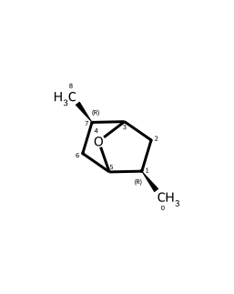 C[C@@H]1CC2OC1C[C@H]2C